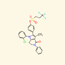 Cc1c2c(n(-c3ccccc3Cl)c1-c1ccc(OS(=O)(=O)CCC(F)(F)F)cc1)CCN(c1ccccc1)C2=O